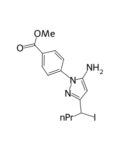 CCCC(I)c1cc(N)n(-c2ccc(C(=O)OC)cc2)n1